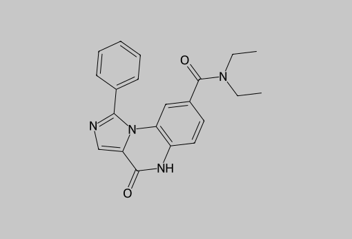 CCN(CC)C(=O)c1ccc2[nH]c(=O)c3cnc(-c4ccccc4)n3c2c1